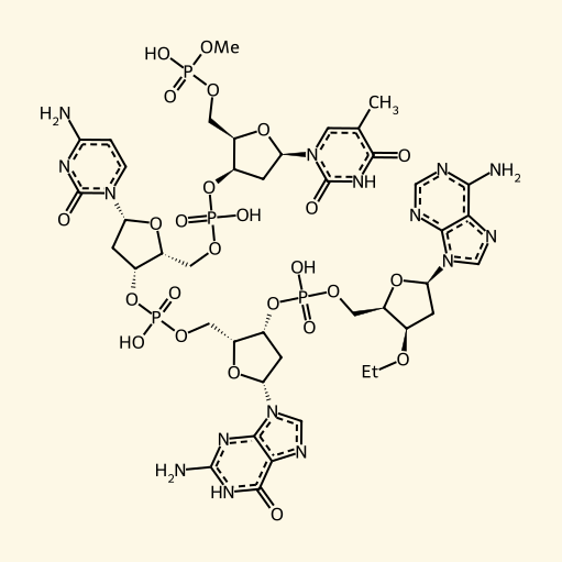 CCO[C@@H]1C[C@H](n2cnc3c(N)ncnc32)O[C@@H]1COP(=O)(O)O[C@@H]1C[C@H](n2cnc3c(=O)[nH]c(N)nc32)O[C@@H]1COP(=O)(O)O[C@@H]1C[C@H](n2ccc(N)nc2=O)O[C@@H]1COP(=O)(O)O[C@@H]1C[C@H](n2cc(C)c(=O)[nH]c2=O)O[C@@H]1COP(=O)(O)OC